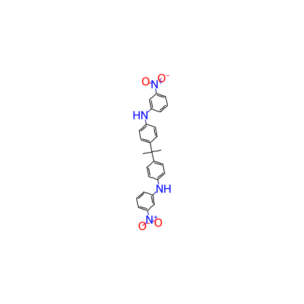 CC(C)(c1ccc(Nc2cccc([N+](=O)[O-])c2)cc1)c1ccc(Nc2cccc([N+](=O)[O-])c2)cc1